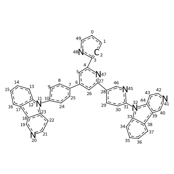 c1ccc(-c2cc(-c3ccc(-n4c5ccccc5c5cnccc54)cc3)cc(-c3ccc(-n4c5ccccc5c5cnccc54)nc3)n2)nc1